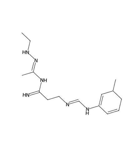 CCN/N=C(\C)NC(=N)CC/N=C/NC1=CC(C)CC=C1